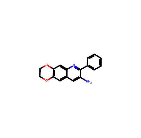 Nc1cc2cc3c(cc2nc1-c1ccccc1)OCCO3